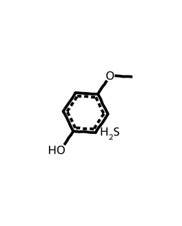 COc1ccc(O)cc1.S